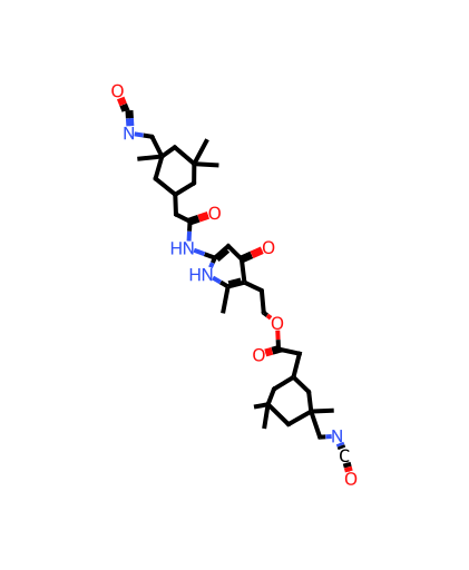 Cc1[nH]c(NC(=O)CC2CC(C)(C)CC(C)(CN=C=O)C2)cc(=O)c1CCOC(=O)CC1CC(C)(C)CC(C)(CN=C=O)C1